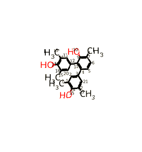 Cc1cc(-c2ccc(C)c(O)c2-c2cc(C)c(O)c(C)c2)cc(C)c1O